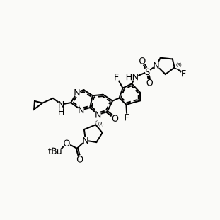 CC(C)(C)OC(=O)N1CC[C@@H](n2c(=O)c(-c3c(F)ccc(NS(=O)(=O)N4CC[C@@H](F)C4)c3F)cc3cnc(NCC4CC4)nc32)C1